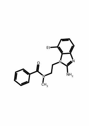 CCc1cccc2nc(N)n(CCN(C)C(=O)c3ccccc3)c12